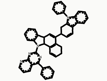 C1=CC2=C(CC1)C(C1C=Cc3c(n(-c4ccccc4)c4ccccc34)C1)=CC1c3ccccc3N(c3nc(-c4ccccc4)c4cccnc4n3)C21